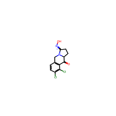 O=C1c2c(ccc(Cl)c2Cl)CN2/C(=N/O)CCC12